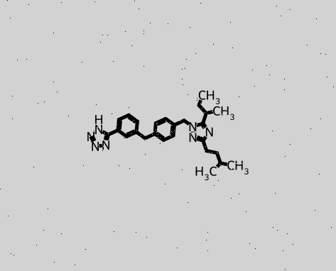 CCC(C)c1nc(CCC(C)C)nn1Cc1ccc(Cc2cccc(-c3nnn[nH]3)c2)cc1